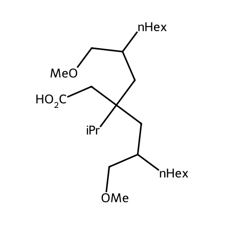 CCCCCCC(COC)CC(CC(=O)O)(CC(CCCCCC)COC)C(C)C